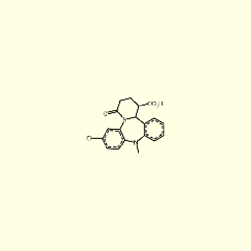 CN1c2ccccc2C2C(C(=O)O)CCC(=O)N2c2cc(Cl)ccc21